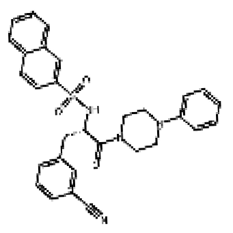 N#Cc1cccc(C[C@H](NS(=O)(=O)c2ccc3ccccc3c2)C(=O)N2CCN(c3ccccc3)CC2)c1